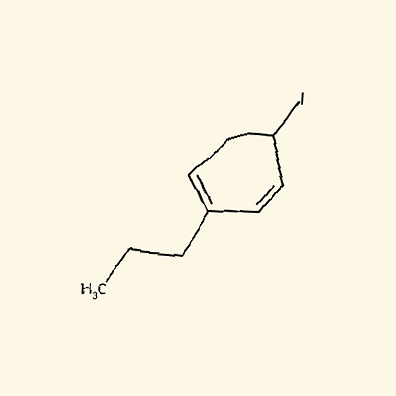 CCCC1=CCC(I)C=C1